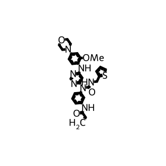 C=CC(=O)Nc1cccc(N(C(=O)NCc2cccs2)c2cc(Nc3ccc(N4CCOCC4)cc3OC)ncn2)c1